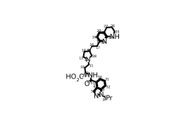 CC(C)n1ncc2c(C(=O)N[C@@H](CCN3CC[C@@H](CCc4ccc5c(n4)NCCC5)C3)C(=O)O)cccc21